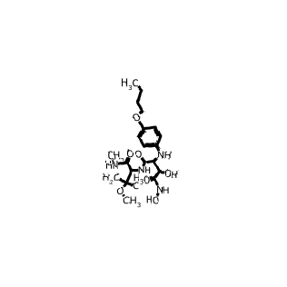 CCCCOc1ccc(NC(C(=O)NC(C(=O)NC)C(C)(C)OC)C(O)C(=O)NO)cc1